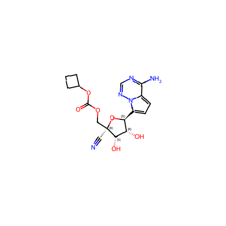 N#C[C@]1(COC(=O)OC2CCC2)O[C@@H](c2ccc3c(N)ncnn23)[C@H](O)[C@@H]1O